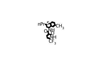 CCCC1CC(NC(=O)c2ccc(C(F)(F)F)[nH]c2=O)c2cc(C)ccc2S1